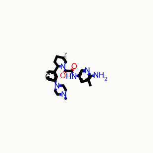 Cc1cc(NC(=O)C(=O)N2C[C@@H](C)CCC2c2cccc(N3CCN(C)CC3)c2)cnc1N